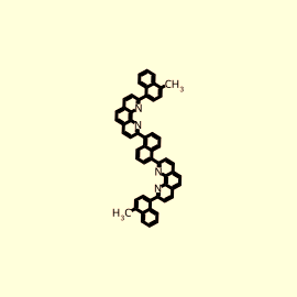 Cc1ccc(-c2ccc3ccc4ccc(-c5cccc6c(-c7ccc8ccc9ccc(-c%10ccc(C)c%11ccccc%10%11)nc9c8n7)cccc56)nc4c3n2)c2ccccc12